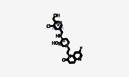 C=C(CO)/C(Cl)=C\C(=C/N)CN[C@H]1CCN(CCn2c(=O)ccc3ncc(F)cc32)C[C@H]1O